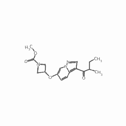 CCC(C)C(=O)c1cnn2cc(OC3CN(C(=O)OC)C3)ccc12